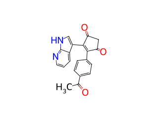 CC(=O)c1ccc(C2=C(c3c[nH]c4ncccc34)C(=O)CC2=O)cc1